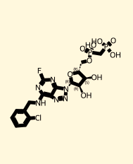 O=P(O)(O)CP(=O)(O)OC[C@H]1O[C@@H](n2nnc3c(NCc4ccccc4Cl)nc(F)nc32)[C@H](O)[C@@H]1O